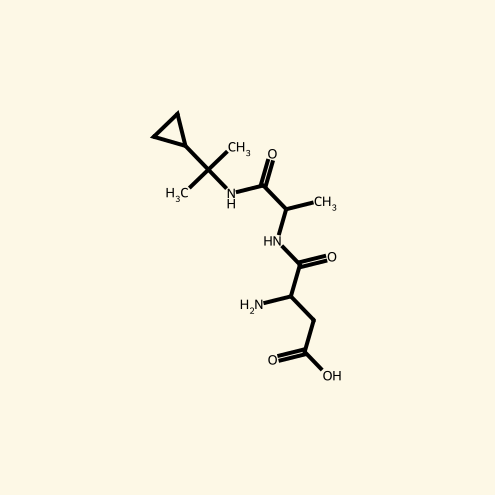 CC(NC(=O)C(N)CC(=O)O)C(=O)NC(C)(C)C1CC1